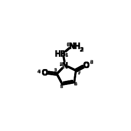 NBN1C(=O)C=CC1=O